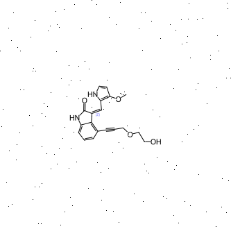 COc1cc[nH]c1/C=C1\C(=O)Nc2cccc(C#CCOCCO)c21